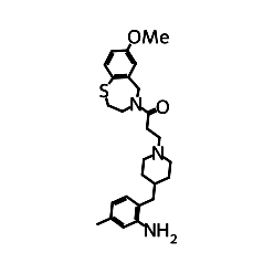 COc1ccc2c(c1)CN(C(=O)CCN1CCC(Cc3ccc(C)cc3N)CC1)CCS2